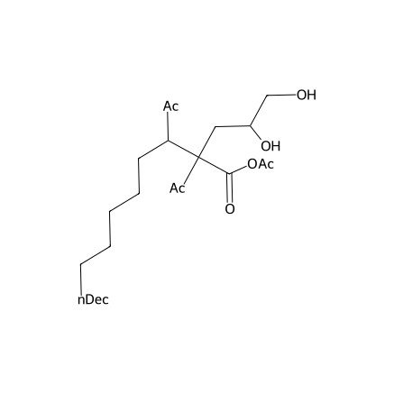 CCCCCCCCCCCCCCCC(C(C)=O)C(CC(O)CO)(C(C)=O)C(=O)OC(C)=O